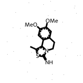 COc1cc2c(cc1OC)-c1c(C)sc(=N)n1CC2